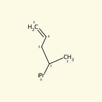 [CH2]C(C)C(C)CC=C